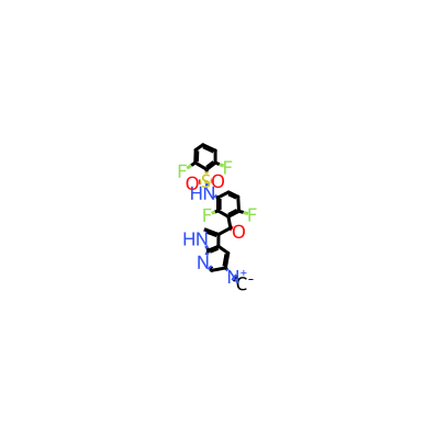 [C-]#[N+]c1cnc2[nH]cc(C(=O)c3c(F)ccc(NS(=O)(=O)c4c(F)cccc4F)c3F)c2c1